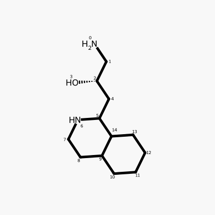 NC[C@@H](O)CC1NCCC2CCCCC21